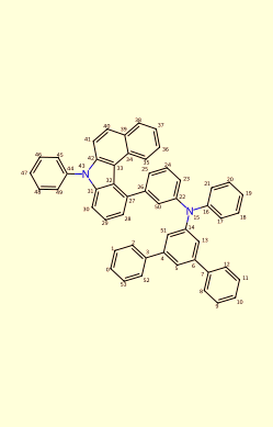 c1ccc(-c2cc(-c3ccccc3)cc(N(c3ccccc3)c3cccc(-c4cccc5c4c4c6ccccc6ccc4n5-c4ccccc4)c3)c2)cc1